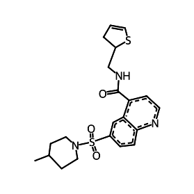 CC1CCN(S(=O)(=O)c2ccc3nccc(C(=O)NCC4CC=CS4)c3c2)CC1